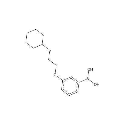 OB(O)c1cccc(OCCSC2CCCCC2)c1